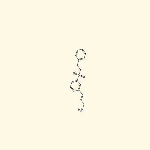 NCC=Cc1cccc(S(=O)(=O)CCc2ccccc2)c1